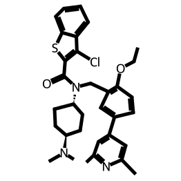 CCOc1ccc(-c2cc(C)nc(C)c2)cc1CN(C(=O)c1sc2ccccc2c1Cl)[C@H]1CC[C@H](N(C)C)CC1